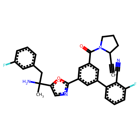 C#CC1CCCN1C(=O)c1cc(-c2ncc(C(C)(N)Cc3cccc(F)c3)o2)cc(-c2cccc(F)c2C#N)c1